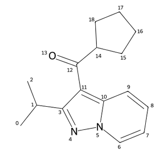 CC(C)c1nn2ccccc2c1C(=O)C1CCCC1